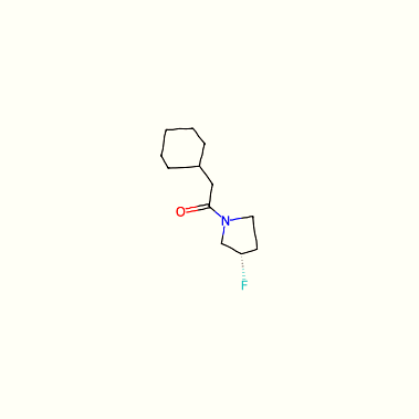 O=C(CC1CCCCC1)N1CC[C@H](F)C1